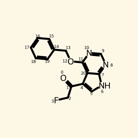 O=C(CF)c1c[nH]c2ncnc(OCc3ccccc3)c12